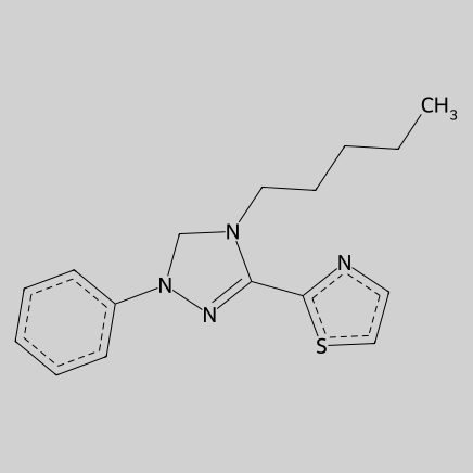 CCCCCN1CN(c2ccccc2)N=C1c1nccs1